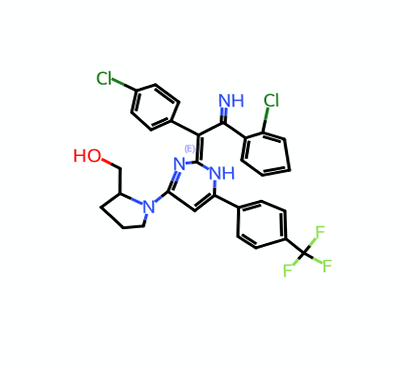 N=C(/C(=C1/N=C(N2CCCC2CO)C=C(c2ccc(C(F)(F)F)cc2)N1)c1ccc(Cl)cc1)c1ccccc1Cl